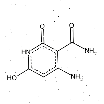 NC(=O)c1c(N)cc(O)[nH]c1=O